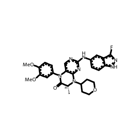 COc1ccc(N2C(=O)[C@@H](C)N(C3CCOCC3)c3nc(Nc4ccc5[nH]nc(F)c5c4)ncc32)cc1OC